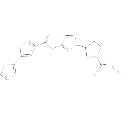 CC(C)(C)OC(=O)N1CCC(n2cc(NC(=O)c3cc(-c4ccco4)on3)cn2)C1